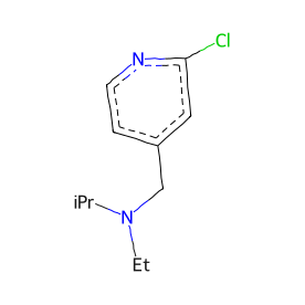 CCN(Cc1ccnc(Cl)c1)C(C)C